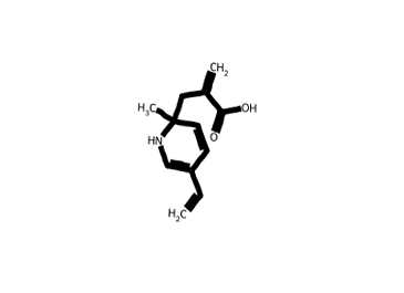 C=CC1=CNC(C)(CC(=C)C(=O)O)C=C1